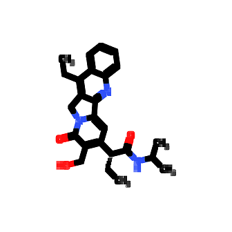 CCc1c2c(nc3ccccc13)-c1cc([C@@H](CC)C(=O)NC(C)C)c(CO)c(=O)n1C2